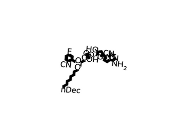 CCCCCCCCCCCCCCCCCCOC[C@H](COP(=O)(O)OC[C@H]1O[C@@](C#N)(c2ccc3c(N)ncnn23)C[C@@H]1O)OCc1cc(F)ccc1C#N